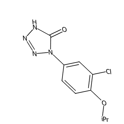 CC(C)Oc1ccc(-n2nn[nH]c2=O)cc1Cl